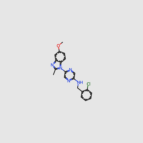 COc1ccc2c(c1)nc(C)n2-c1cnc(NCc2ccccc2Cl)cn1